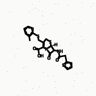 Cc1ccccc1SCC1=C(C(=O)O)N2C(=O)C(NC(=O)Cc3cccs3)[C@@H]2SC1